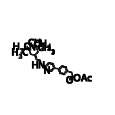 CC(=O)OC(=O)Cc1ccc(-c2ccc(NCC=C3CC(C)(C)N(C)C(C)(C)C3)nc2)cc1